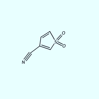 N#CC1=CS(=O)(=O)C=C1